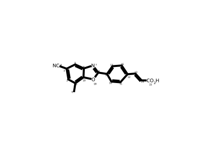 Cc1cc(C#N)cc2nc(-c3ccc(C=CC(=O)O)cc3)oc12